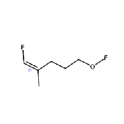 C/C(=C/F)CCCOF